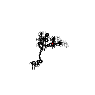 CC(C)(C)C(=O)OCOP(=O)(OCOC(=O)C(C)(C)C)C(F)(F)c1ccc2sc(C(=O)N[C@H]3CN(C(=O)CCCCCC#Cc4cccc5c4CN(C4CCC(=O)NC4=O)C5=O)CC[C@H]4CC[C@@H](C(=O)N[C@@H](CCC(N)=O)C(=O)NC(c5ccccc5)c5ccccc5)N4C3=O)cc2c1